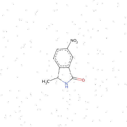 CC1NC(=O)c2cc([N+](=O)[O-])ccc21